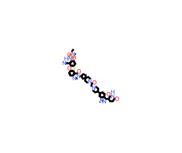 CCN(C)S(=O)(=O)Nc1ccc(F)c(Oc2ccc3ncn([C@H]4CCC5(CCN(C(=O)CN6CCC(c7ccc8c(C9CCC(=O)NC9=O)nn(C)c8c7)CC6)CC5)C4)c(=O)c3c2)c1C#N